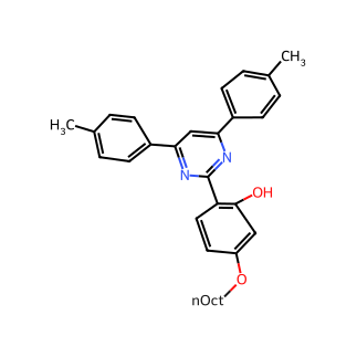 CCCCCCCCOc1ccc(-c2nc(-c3ccc(C)cc3)cc(-c3ccc(C)cc3)n2)c(O)c1